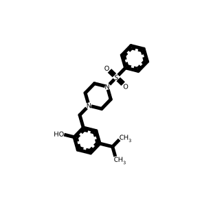 CC(C)c1ccc(O)c(CN2CCN(S(=O)(=O)c3ccccc3)CC2)c1